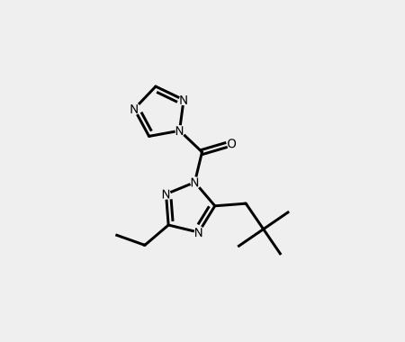 CCc1nc(CC(C)(C)C)n(C(=O)n2cncn2)n1